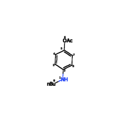 CCCCNc1ccc(OC(C)=O)cc1